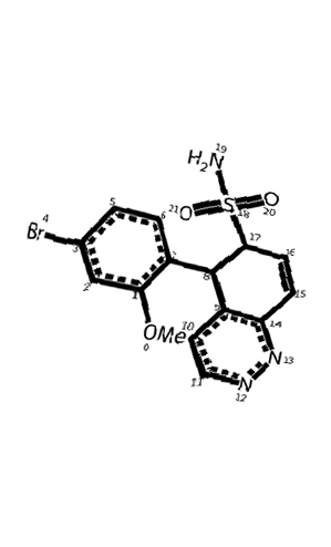 COc1cc(Br)ccc1C1c2ccnnc2C=CC1S(N)(=O)=O